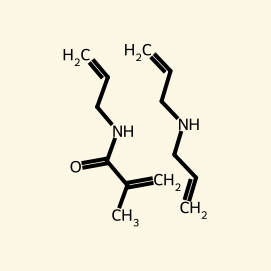 C=CCNC(=O)C(=C)C.C=CCNCC=C